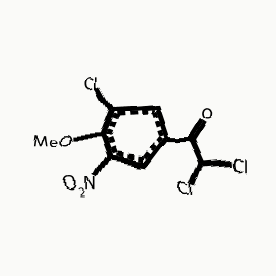 COc1c(Cl)cc(C(=O)C(Cl)Cl)cc1[N+](=O)[O-]